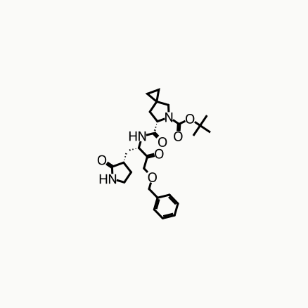 CC(C)(C)OC(=O)N1CC2(CC2)C[C@H]1C(=O)N[C@@H](C[C@@H]1CCNC1=O)C(=O)COCc1ccccc1